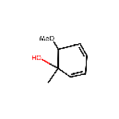 COC1C=CC=CC1(C)O